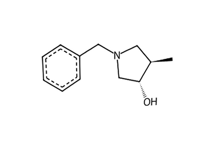 C[C@@H]1CN(Cc2ccccc2)C[C@H]1O